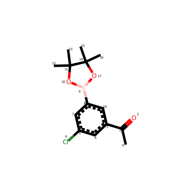 CC(=O)c1cc(Cl)cc(B2OC(C)(C)C(C)(C)O2)c1